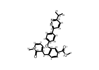 COC(=O)c1ccc(Cc2cccn(C)c2=O)c(Oc2ccc(-c3ccc(C(C)C)nn3)cc2)c1